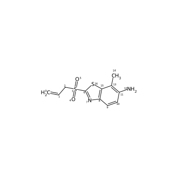 C=CCS(=O)(=O)c1nc2ccc(N)c(C)c2s1